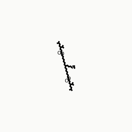 CC(C)CCC(CCC(=O)OCCCCCCCC(CCCCCCCOC(=O)CCC(CCC(C)C)C(C)C)CCCCN(C)C)C(C)C